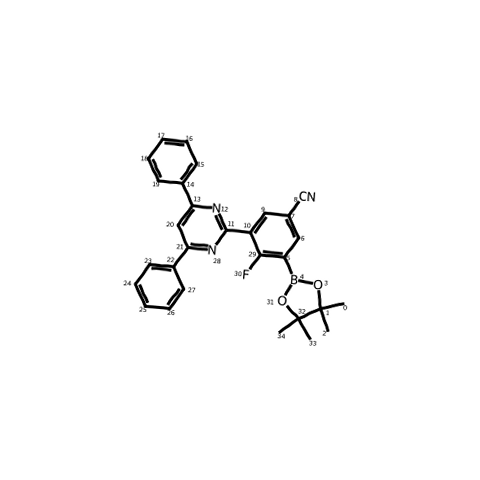 CC1(C)OB(c2cc(C#N)cc(-c3nc(-c4ccccc4)cc(-c4ccccc4)n3)c2F)OC1(C)C